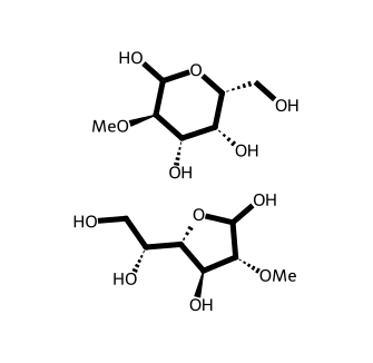 CO[C@H]1C(O)O[C@@H]([C@H](O)CO)[C@@H]1O.CO[C@H]1C(O)O[C@H](CO)[C@H](O)[C@@H]1O